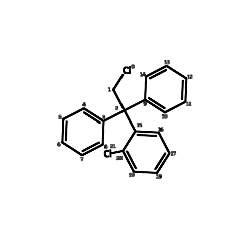 ClCC(c1ccccc1)(c1ccccc1)c1ccccc1Cl